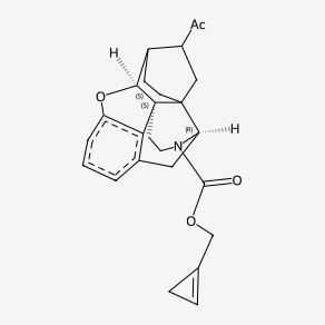 CC(=O)C1CC23CCC1[C@@H]1Oc4cccc5c4[C@@]12CCN(C(=O)OCC1=CC1)[C@@H]3C5